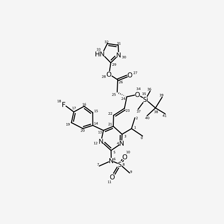 CC(C)c1nc(N(C)S(C)(=O)=O)nc(-c2ccc(F)cc2)c1/C=C/[C@H](CC(=O)Oc1ncc[nH]1)O[Si](C)(C)C(C)(C)C